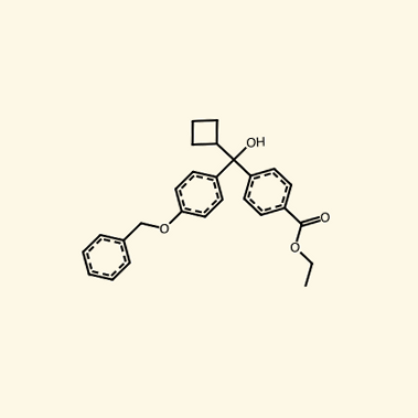 CCOC(=O)c1ccc(C(O)(c2ccc(OCc3ccccc3)cc2)C2CCC2)cc1